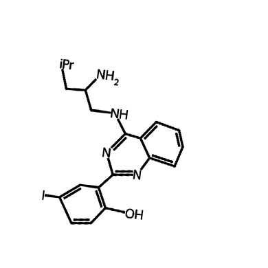 CC(C)CC(N)CNc1nc(-c2cc(I)ccc2O)nc2ccccc12